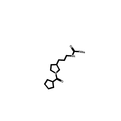 CNC(=O)NCCCC1CCN(C(=O)C2CCCC2)C1